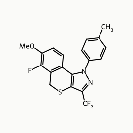 COc1ccc2c(c1F)CSc1c(C(F)(F)F)nn(-c3ccc(C)cc3)c1-2